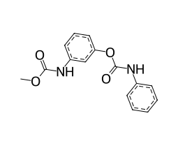 COC(=O)Nc1cccc(OC(=O)Nc2ccccc2)c1